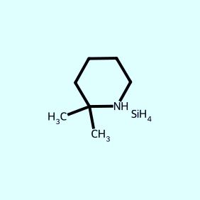 CC1(C)CCCCN1.[SiH4]